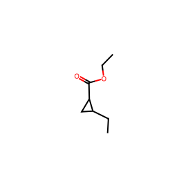 CCOC(=O)C1CC1CC